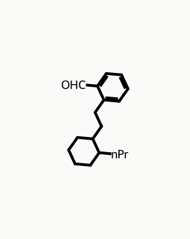 CCCC1CCCCC1CCc1ccccc1C=O